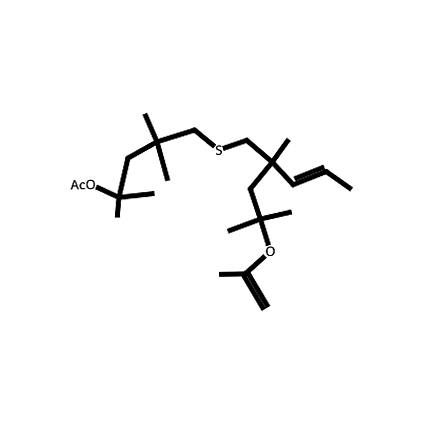 C=C(C)OC(C)(C)CC(C)(C=CC)CSCC(C)(C)CC(C)(C)OC(C)=O